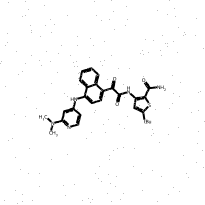 CN(C)c1cc(Nc2ccc(C(=O)C(=O)Nc3cc(C(C)(C)C)sc3C(N)=O)c3ccccc23)ccn1